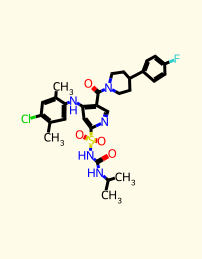 Cc1cc(Nc2cc(S(=O)(=O)NC(=O)NC(C)C)ncc2C(=O)N2CCC(c3ccc(F)cc3)CC2)c(C)cc1Cl